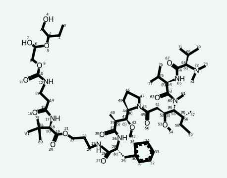 CCC(CO)OC(O)COC(=O)NCCC(=O)N[C@@H](C(=O)OCCCNC(=O)[C@@H](Cc1ccccc1)NC(=O)[C@@H](C)[C@H](OC)[C@H]1CCCN1C(=O)C[C@H](OC)[C@@H]([C@H](C)CC)N(C)C(=O)[C@H](NC(=O)[C@@H](C(C)C)N(C)C)C(C)C)C(C)(C)C